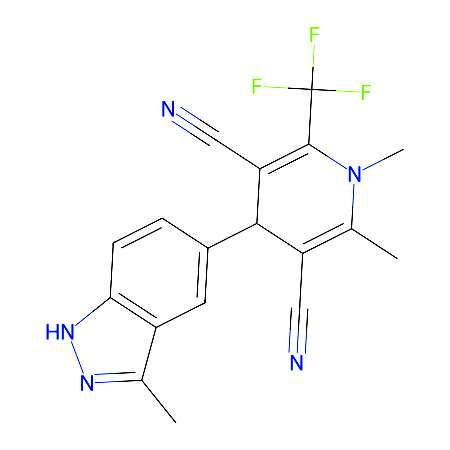 CC1=C(C#N)C(c2ccc3[nH]nc(C)c3c2)C(C#N)=C(C(F)(F)F)N1C